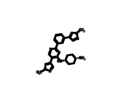 Cn1cc(-c2cccc(-c3ncc(-c4cnn(C)c4)c(N[C@H]4CC[C@@H](N)CC4)n3)c2)cn1